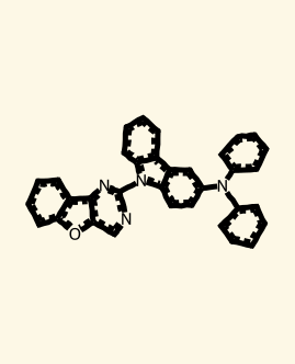 c1ccc(N(c2ccccc2)c2ccc3c(c2)c2ccccc2n3-c2ncc3oc4ccccc4c3n2)cc1